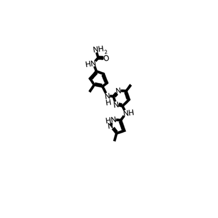 Cc1cc(Nc2cc(C)nc(Nc3ccc(NC(N)=O)cc3C)n2)[nH]n1